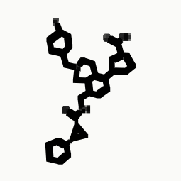 O=C(O)c1cccc(-c2ccc(CNC(=O)[C@@H]3C[C@@H]3c3ccccc3)c3c2CCN(Cc2ccc(F)cc2)C3)c1